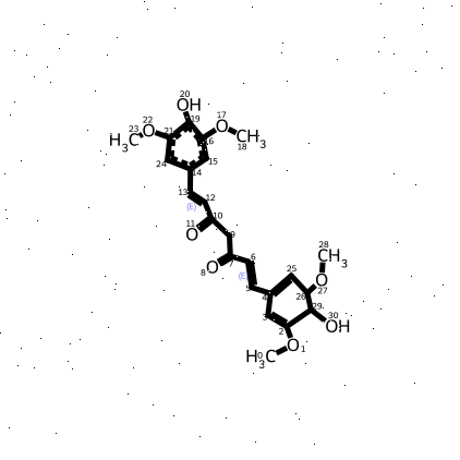 COC1=CC(/C=C/C(=O)CC(=O)/C=C/c2cc(OC)c(O)c(OC)c2)=CC(OC)C1O